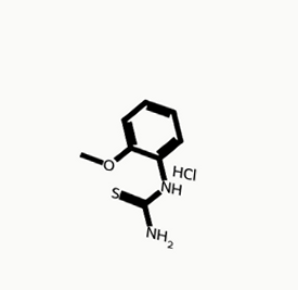 COc1ccccc1NC(N)=S.Cl